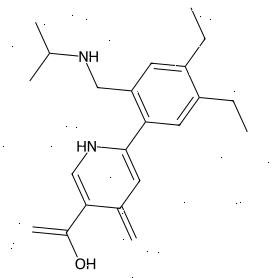 C=C(O)C1=CNC(c2cc(CC)c(CC)cc2CNC(C)C)=CC1=C